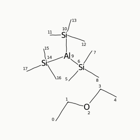 CCOCC.C[Si](C)(C)[Al]([Si](C)(C)C)[Si](C)(C)C